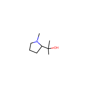 CN1CCCC1C(C)(C)O